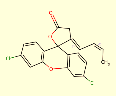 C/C=C\C=C1/CC(=O)OC12c1ccc(Cl)cc1Oc1cc(Cl)ccc12